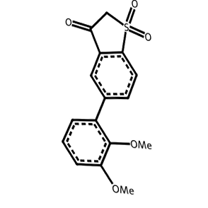 COc1cccc(-c2ccc3c(c2)C(=O)CS3(=O)=O)c1OC